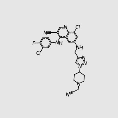 N#CCN1CCC(n2cc(CNc3cc(Cl)c4ncc(C#N)c(Nc5ccc(F)c(Cl)c5)c4c3)nn2)CC1